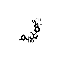 O=C(O)c1cc2cc(N3CC[C@H](C(=O)NCc4cc(F)cc(F)c4)C3=O)ccc2[nH]1